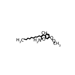 CCCCCCCCCCC(C(N)=O)=C(C)c1ccc(OCOC)cc1